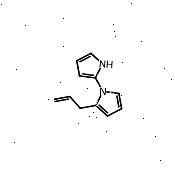 C=CCc1cccn1-c1ccc[nH]1